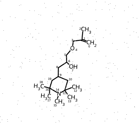 C=C(C)COCC(O)CC1CC(C)(C)N(C)C(C)(C)C1